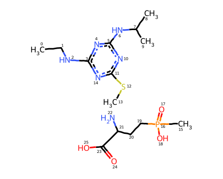 CCNc1nc(NC(C)C)nc(SC)n1.CP(=O)(O)CCC(N)C(=O)O